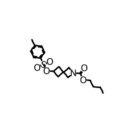 CCCCOC(=O)N1CC2(CC(OS(=O)(=O)c3ccc(C)cc3)C2)C1